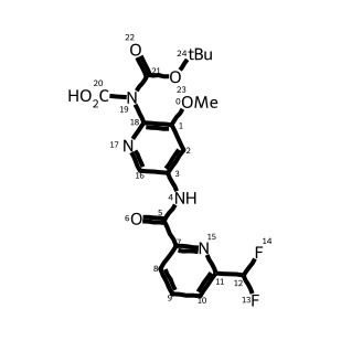 COc1cc(NC(=O)c2cccc(C(F)F)n2)cnc1N(C(=O)O)C(=O)OC(C)(C)C